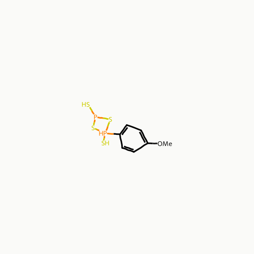 COc1ccc([PH]2(S)SP(S)S2)cc1